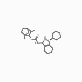 CC1C2CCC(C)(C2)C1NC(=O)NC1NN(C2CCCCC2)C2=C1CCCC2